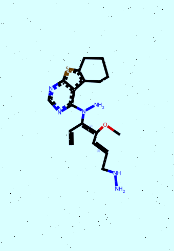 C=C/C(=C(\C=C\CNN)OC)N(N)c1ncnc2sc3c(c12)CCCC3